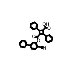 N#Cc1ccc(-c2ccccc2)cc1OC(=O)C1C(c2ccccc2)C(C(=O)O)C1c1ccccc1